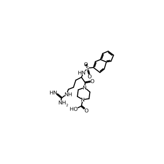 N=C(N)NCCCC(NS(=O)(=O)c1ccc2ccccc2c1)C(=O)N1CCN(C(=O)O)CC1